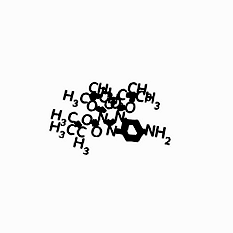 CC(C)(C)OC(=O)N(C(=O)OC(C)(C)C)c1nc2ccc(N)cc2n1C(=O)OC(C)(C)C